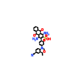 C=Cc1cc(C#N)ccc1N(C=O)c1ccc(-c2c(N)c3c(c(N)c2S(=O)(=O)O)C(=O)c2ccccc2C3=O)cc1